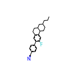 CCCC1CCC2c3cc(F)c(-c4ccc(C#N)cc4)cc3CCC2C1